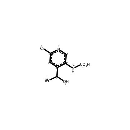 CC(C)C(O)c1cc(Cl)ncc1NC(=O)O